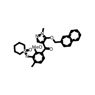 COc1c(C(=O)c2cnn(C)c2OCc2ccc3ccccc3c2)ccc(C)c1N=S1(=O)CCCCC1